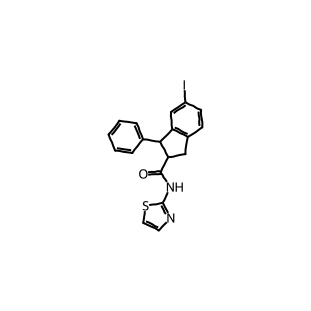 O=C(Nc1nccs1)C1Cc2ccc(I)cc2C1c1ccccc1